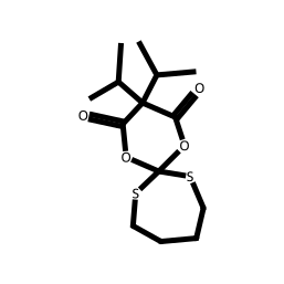 CC(C)C1(C(C)C)C(=O)OC2(OC1=O)SCCCCS2